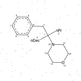 CCCCCCCCCCC(CCC)(Cc1ccccc1)N1CCOCC1